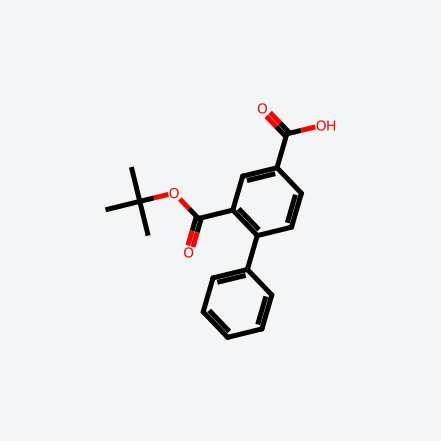 CC(C)(C)OC(=O)c1cc(C(=O)O)ccc1-c1ccccc1